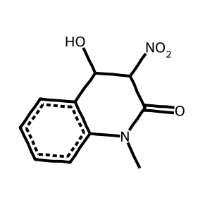 CN1C(=O)C([N+](=O)[O-])C(O)c2ccccc21